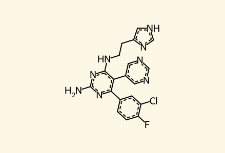 Nc1nc(NCCc2c[nH]cn2)c(-c2cncnc2)c(-c2ccc(F)c(Cl)c2)n1